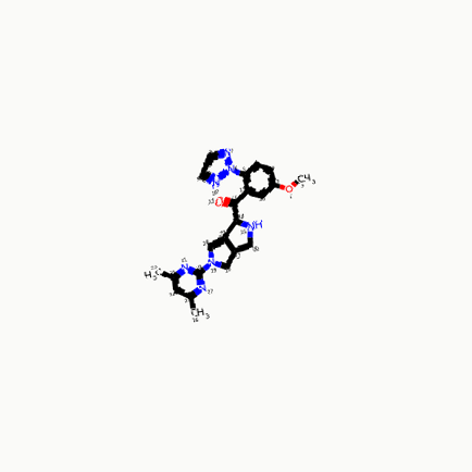 COc1ccc(-n2nccn2)c(C(=O)C2NCC3CN(c4nc(C)cc(C)n4)C=C32)c1